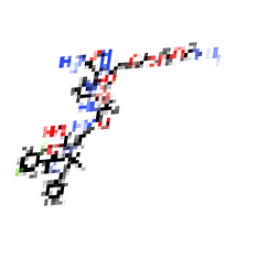 CC(C)[C@H](NC(=O)[C@@H]1CCCN1C(=O)[C@H](CC(N)=O)NC(=O)CCOCCOCCOCCN)C(=O)NCCCN(C(=O)CO)[C@@H](c1cc(-c2cc(F)ccc2F)cn1Cc1ccccc1)C(C)(C)C